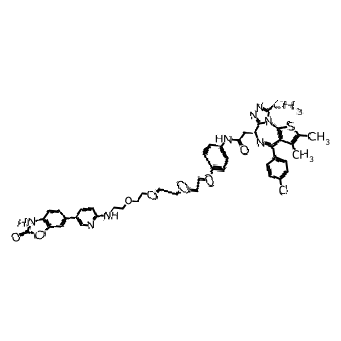 Cc1sc2c(c1C)C(c1ccc(Cl)cc1)=N[C@@H](CC(=O)Nc1ccc(OCCOCCOCCOCCNc3ccc(-c4ccc5[nH]c(=O)oc5c4)cn3)cc1)c1nnc(C)n1-2